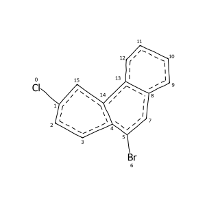 Clc1ccc2c(Br)cc3ccccc3c2c1